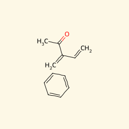 C=CC(=C)C(C)=O.c1ccccc1